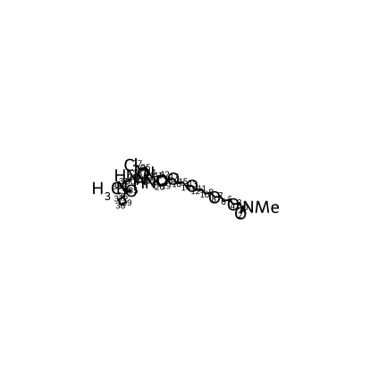 CNC(=O)COCCCOCCCCOCCCOc1ccc(Nc2ncc(Cl)c(NCCN(C)C(=O)C3CCC3)n2)cc1